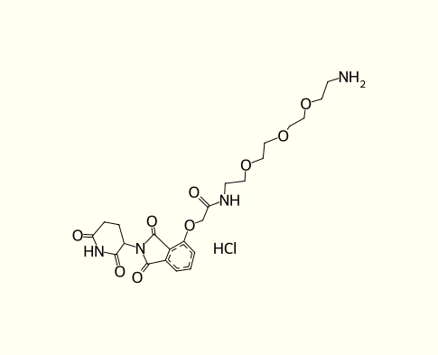 Cl.NCCOCCOCCOCCNC(=O)COc1cccc2c1C(=O)N(C1CCC(=O)NC1=O)C2=O